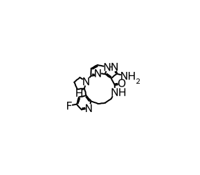 Nc1nn2ccc3nc2c1C(=O)NCCCc1ncc(F)cc1[C@H]1CCCN31